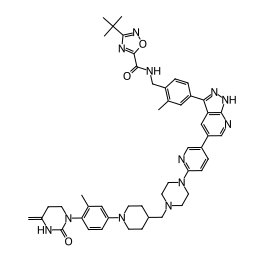 C=C1CCN(c2ccc(N3CCC(CN4CCN(c5ccc(-c6cnc7[nH]nc(-c8ccc(CNC(=O)c9nc(C(C)(C)C)no9)c(C)c8)c7c6)cn5)CC4)CC3)cc2C)C(=O)N1